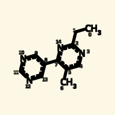 CCc1ncc(C)c(-c2cncnc2)n1